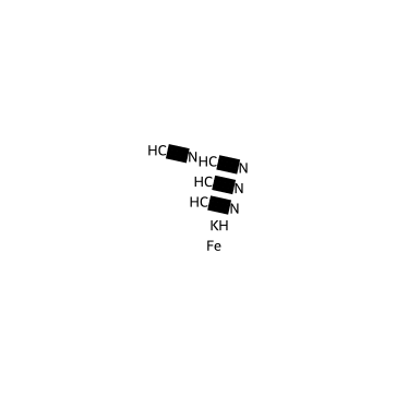 C#N.C#N.C#N.C#N.[Fe].[KH]